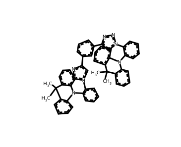 CC1(C)c2ccccc2N(c2ccccc2-n2cc(-c3cccc(-c4cn(-c5ccccc5N5c6ccccc6C(C)(C)c6ccccc65)nn4)c3)nn2)c2ccccc21